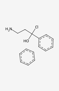 NCCC(O)(Cl)c1ccccc1.c1ccccc1